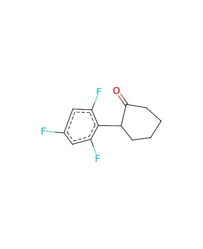 O=C1CCCCC1c1c(F)cc(F)cc1F